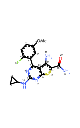 COc1ccc(F)c(-c2nc(NC3CC3)nc3sc(C(N)=O)c(N)c23)c1